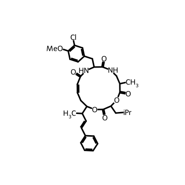 COc1ccc(CC2NC(=O)C=CCC(C(C)C=Cc3ccccc3)OC(=O)C(CC(C)C)OC(=O)C(C)CNC2=O)cc1Cl